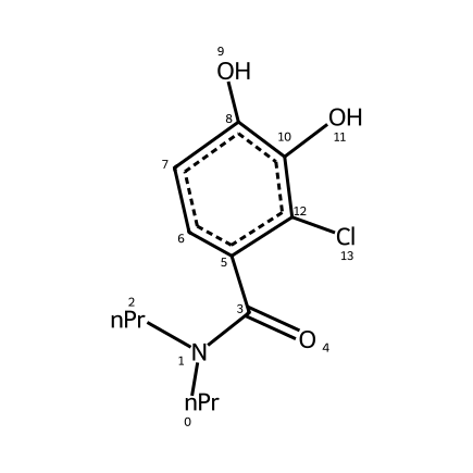 CCCN(CCC)C(=O)c1ccc(O)c(O)c1Cl